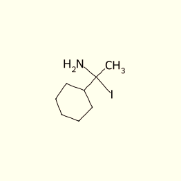 CC(N)(I)C1CCCCC1